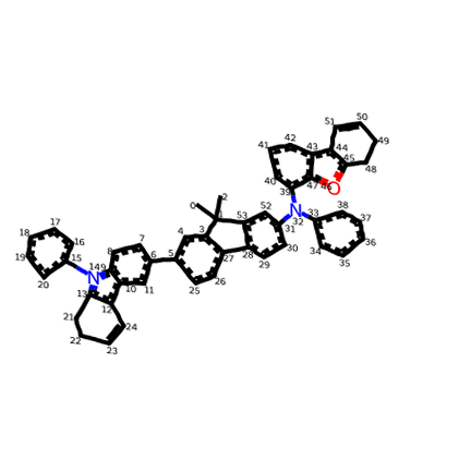 CC1(C)c2cc(-c3ccc4c(c3)c3c(n4-c4ccccc4)CCC=C3)ccc2-c2ccc(N(c3ccccc3)c3cccc4c5c(oc34)CCC=C5)cc21